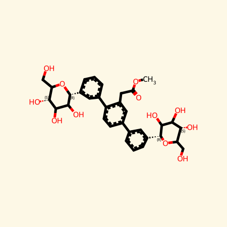 COC(=O)Cc1cc(-c2cccc([C@H]3OC(CO)[C@@H](O)C(O)C3O)c2)ccc1-c1cccc([C@H]2OC(CO)[C@@H](O)C(O)C2O)c1